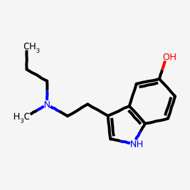 CCCN(C)CCc1c[nH]c2ccc(O)cc12